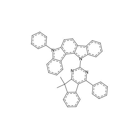 CC1(C)c2ccccc2-c2c(-c3ccccc3)nc(-n3c4ccccc4c4ccc5c(c6ccccc6n5-c5ccccc5)c43)nc21